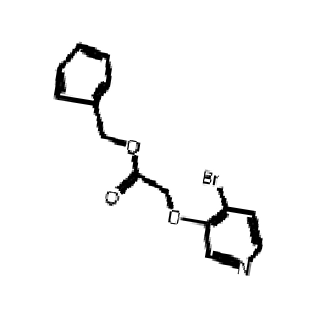 O=C(COc1cnccc1Br)OCc1ccccc1